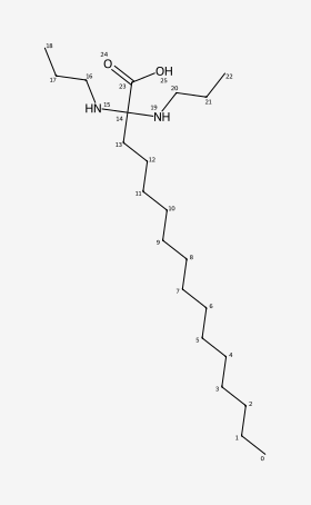 CCCCCCCCCCCCCCC(NCCC)(NCCC)C(=O)O